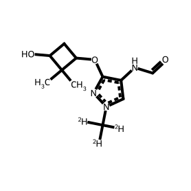 [2H]C([2H])([2H])n1cc(NC=O)c(OC2CC(O)C2(C)C)n1